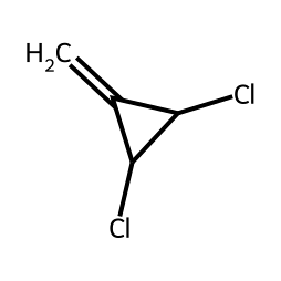 C=C1C(Cl)C1Cl